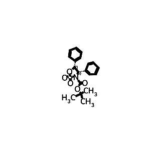 CC(C)(C)OC(=O)N1[C@@H](c2ccccc2)[C@@H](c2ccccc2)OS1(=O)=O